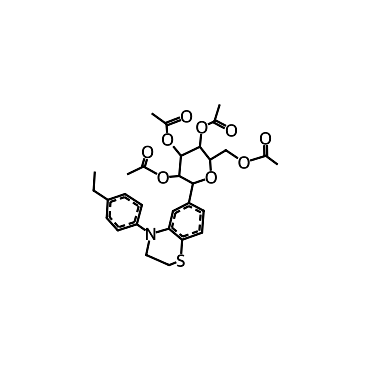 CCc1ccc(N2CCSc3ccc(C4OC(COC(C)=O)C(OC(C)=O)C(OC(C)=O)C4OC(C)=O)cc32)cc1